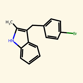 Cc1[nH]c2ccccc2c1Cc1ccc(Br)cc1